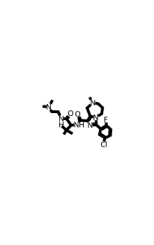 CN(C)CCNC(=O)C(NC(=O)c1nc(-c2cc(Cl)ccc2F)n2c1CN(C)CCC2)C(C)(C)C